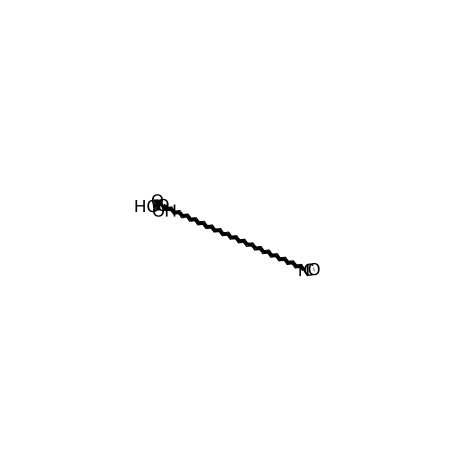 O=C=NCCCCCCCCCCCCCCCCCCCCCCCCCCCCCCCCCCOP(=O)(O)O